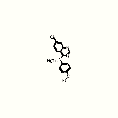 CCOc1ccc(Nc2ncnc3cc(Cl)ccc23)cc1.Cl